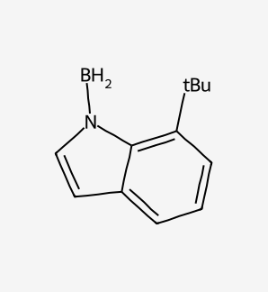 Bn1ccc2cccc(C(C)(C)C)c21